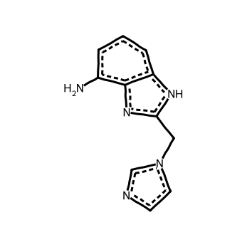 Nc1cccc2[nH]c(Cn3ccnc3)nc12